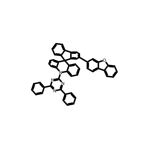 c1ccc(-c2nc(-c3ccccc3)nc(N3c4ccccc4C4(c5ccccc5-c5ccc(-c6ccc7c(c6)oc6ccccc67)cc54)c4ccccc43)n2)cc1